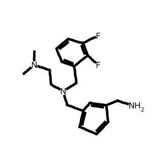 CN(C)CCN(Cc1cccc(CN)c1)Cc1cccc(F)c1F